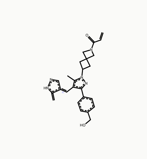 C=CC(=O)N1CC2(CC(n3nc(-c4ccc(CO)cc4)c(/C=c4\cn[nH]c4=C)c3C)C2)C1